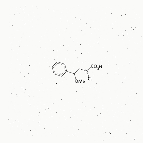 COC(CN(Cl)C(=O)O)c1ccccc1